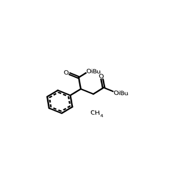 C.CC(C)COC(=O)CC(C(=O)OCC(C)C)c1ccccc1